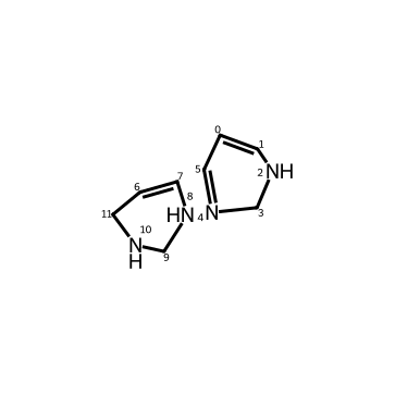 C1=CNCN=C1.C1=CNCNC1